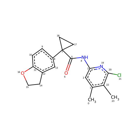 Cc1cc(NC(=O)C2(c3ccc4c(c3)CCO4)CC2)nc(Cl)c1C